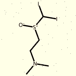 CN(C)CC[S+]([O-])C(I)I